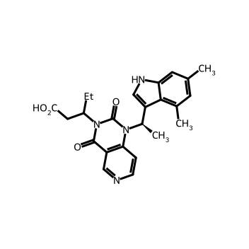 CCC(CC(=O)O)n1c(=O)c2cnccc2n([C@H](C)c2c[nH]c3cc(C)cc(C)c23)c1=O